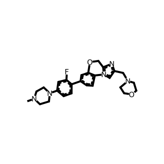 CN1CCN(c2ccc(-c3ccc4c(c3)OCc3nc(CN5CCOCC5)cn3-4)c(F)c2)CC1